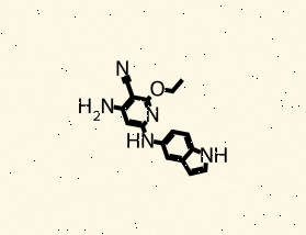 CCOc1nc(Nc2ccc3[nH]ccc3c2)cc(N)c1C#N